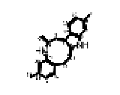 C=C1/C=c2\c([nH]c3cc(C)ccc23)=C/Cc2ccc(C)cc2N1